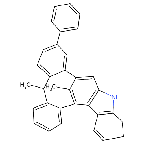 Cc1c2cc3[nH]c4c(c3c1-c1ccccc1C(C)c1ccc(-c3ccccc3)cc1-2)C=CCC4